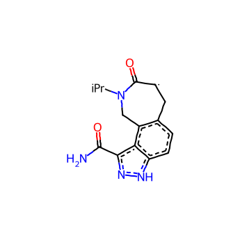 CC(C)N1Cc2c(ccc3[nH]nc(C(N)=O)c23)C[CH]C1=O